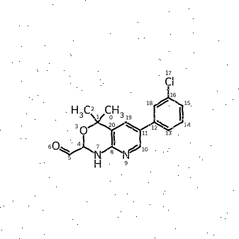 CC1(C)OC(C=O)Nc2ncc(-c3cccc(Cl)c3)cc21